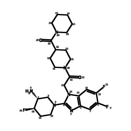 N[C@@H]1CN(c2nc3cc(F)c(F)cc3n2CC(=O)N2CCC(C(=O)N3CCCCC3)CC2)CC[C@H]1F